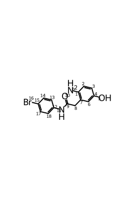 Nc1ccc(O)cc1CC(=O)Nc1ccc(Br)cc1